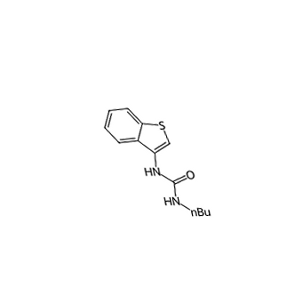 CCCCNC(=O)Nc1csc2ccccc12